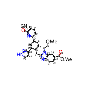 COCCn1c(Cc2ccc(-c3cccc(OC#N)n3)cc2-c2cc[nH]n2)nc2ccc(C(=O)OC)cc21